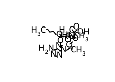 CCCCCOC(=O)CO[P@@](=O)(CO[C@H](C)Cn1cnc2c(N)ncnc21)NC(C)(C)C(=O)O